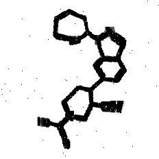 O=C(O)N1CCC(c2ccc3cnn(C4CCCCO4)c3c2)C(O)C1